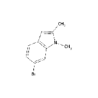 Cc1cc2ccc(Br)cc2n1C